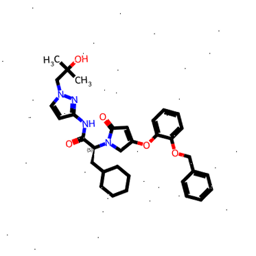 CC(C)(O)Cn1ccc(NC(=O)[C@H](CC2CCCCC2)N2CC(Oc3ccccc3OCc3ccccc3)=CC2=O)n1